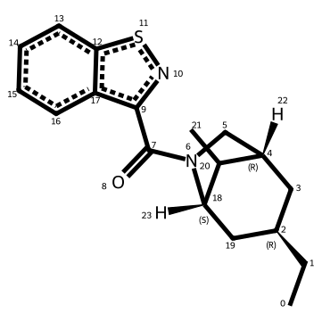 CC[C@@H]1C[C@H]2CN(C(=O)c3nsc4ccccc34)[C@@H](C1)C2C